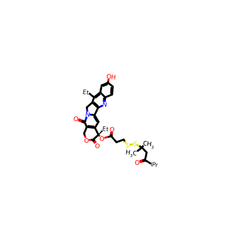 CCc1c2c(nc3ccc(O)cc13)-c1cc3c(c(=O)n1C2)COC(=O)[C@@]3(CC)OC(=O)CCSSC(C)(C)CC(=O)C(C)C